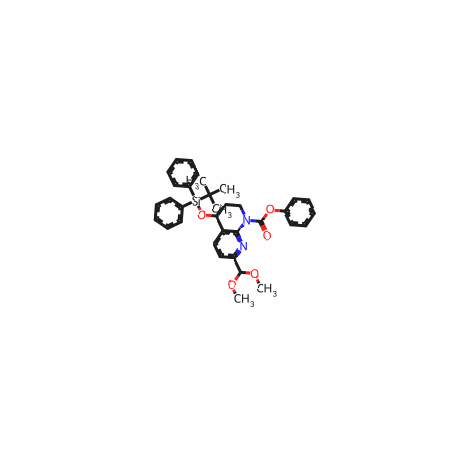 COC(OC)c1ccc2c(n1)N(C(=O)Oc1ccccc1)CCC2O[Si](c1ccccc1)(c1ccccc1)C(C)(C)C